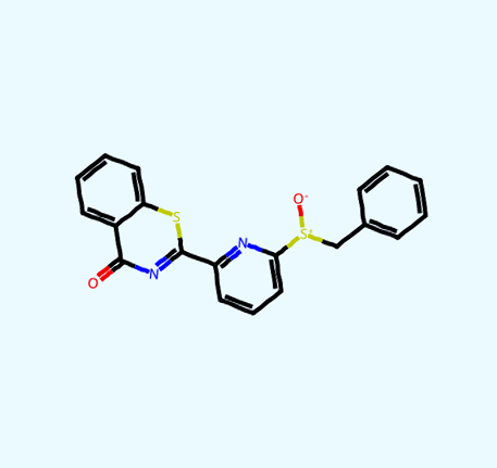 O=c1nc(-c2cccc([S+]([O-])Cc3ccccc3)n2)sc2ccccc12